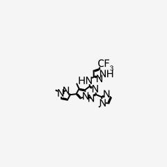 Cc1c(-c2ccn(C)n2)cn2nc(-c3nccn3C)nc(Nc3cc(C(F)(F)F)[nH]n3)c12